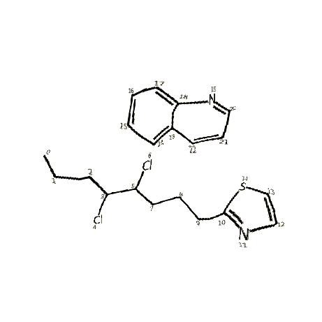 CCCC(Cl)C(Cl)CCCc1nccs1.c1ccc2ncccc2c1